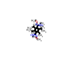 CCc1c(/C(=N/OC)NC)c(C(C)C)c(C(C)C)c(/C(=N/OC)NC)c1C(C)C